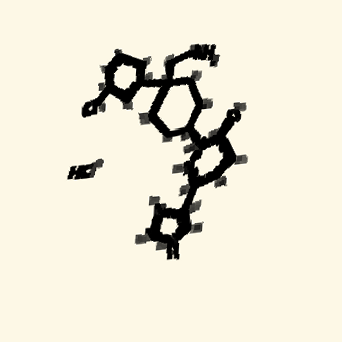 Cl.NC[C@]1(c2cccc(Cl)c2)CC[C@H](n2nc(-c3c[nH]nn3)ccc2=O)CC1